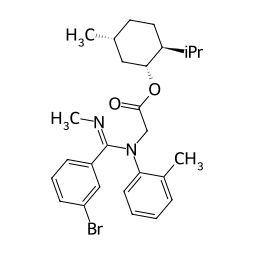 C/N=C(\c1cccc(Br)c1)N(CC(=O)O[C@@H]1C[C@H](C)CC[C@H]1C(C)C)c1ccccc1C